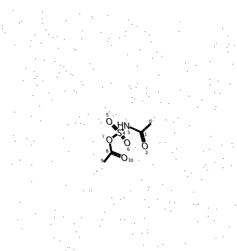 CC(=O)NS(=O)(=O)OC(C)=O